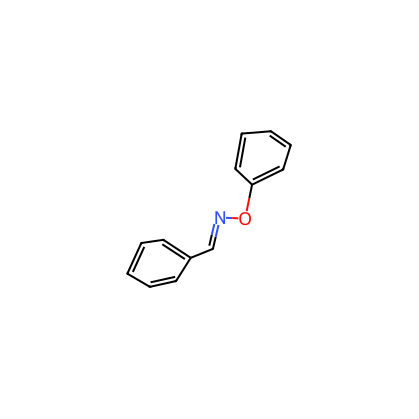 C(=NOc1ccccc1)c1ccccc1